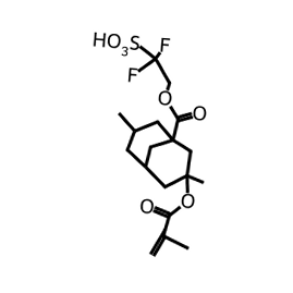 C=C(C)C(=O)OC1(C)CC2CC(C)CC(C(=O)OCC(F)(F)S(=O)(=O)O)(C2)C1